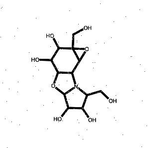 OCC1C(O)C(O)C2OC3C(O)C(O)C4(CO)OC4C3N12